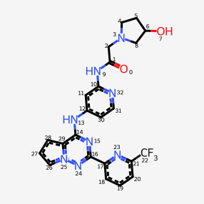 O=C(CN1CCC(O)C1)Nc1cc(Nc2nc(-c3cccc(C(F)(F)F)n3)nn3cccc23)ccn1